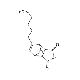 CCCCCCCCCCCCCCC1=CC2OC1C1C(=O)OC(=O)C21